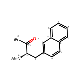 CN[C@H](Cc1ccc2ccccc2c1)C(=O)C(C)C